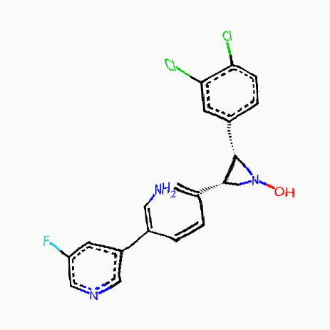 C=C(/C=C\C(=C/N)c1cncc(F)c1)[C@@H]1[C@H](c2ccc(Cl)c(Cl)c2)N1O